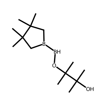 CC(C)(O)C(C)(C)OBB1CC(C)(C)C(C)(C)C1